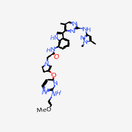 COCCNc1nccc(OC2CCN(CC(=O)Nc3cccc4c(-c5nc(Nc6cc(C)n(C)n6)ncc5C)c[nH]c34)C2)n1